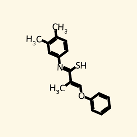 CC(=C\Oc1ccccc1)/C(S)=N/c1ccc(C)c(C)c1